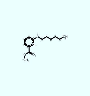 COC(=O)c1cccc(OCCCCCO)n1